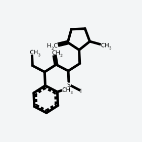 C=C(C(CC1C(=C)CCC1C)SI)C(CC)c1ccccc1C